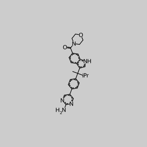 CC(C)C(C)(c1ccc(-c2cnc(N)nc2)cc1)c1c[nH]c2cc(C(=O)N3CCOCC3)ccc12